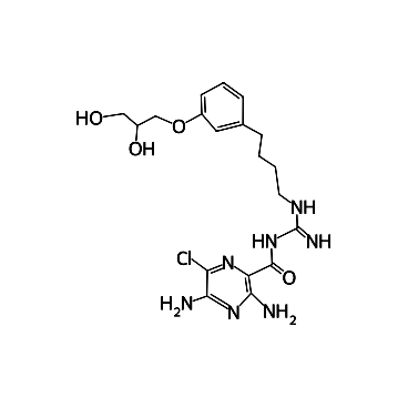 N=C(NCCCCc1cccc(OCC(O)CO)c1)NC(=O)c1nc(Cl)c(N)nc1N